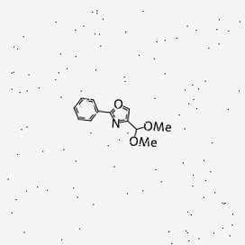 COC(OC)c1coc(-c2ccccc2)n1